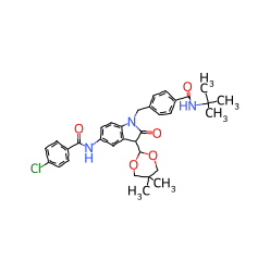 CC1(C)COC(C2C(=O)N(Cc3ccc(C(=O)NC(C)(C)C)cc3)c3ccc(NC(=O)c4ccc(Cl)cc4)cc32)OC1